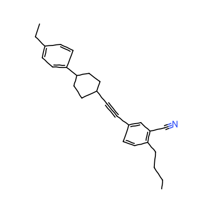 CCCCc1ccc(C#CC2CCC(c3ccc(CC)cc3)CC2)cc1C#N